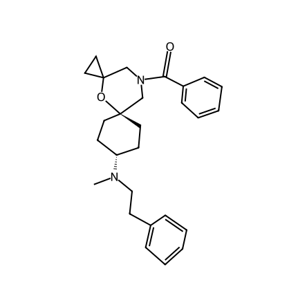 CN(CCc1ccccc1)[C@H]1CC[C@]2(CC1)CN(C(=O)c1ccccc1)CC1(CC1)O2